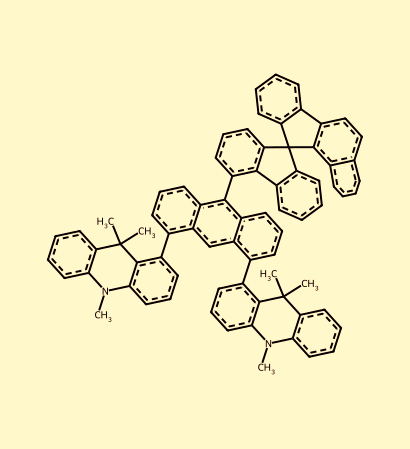 CN1c2ccccc2C(C)(C)c2c(-c3cccc4c(-c5cccc6c5-c5ccccc5C65c6ccccc6-c6ccc7ccccc7c65)c5cccc(-c6cccc7c6C(C)(C)c6ccccc6N7C)c5cc34)cccc21